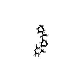 O=C1CC(=O)N(c2cccc(NC(=O)c3ccncc3)c2)C(=O)N1